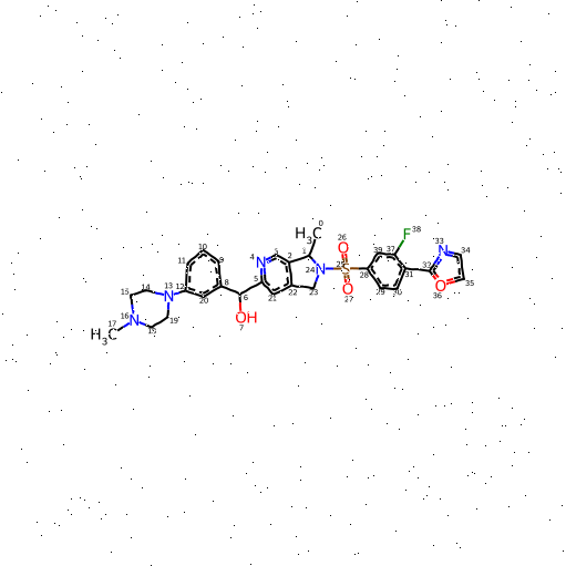 CC1c2cnc(C(O)c3cccc(N4CCN(C)CC4)c3)cc2CN1S(=O)(=O)c1ccc(-c2ncco2)c(F)c1